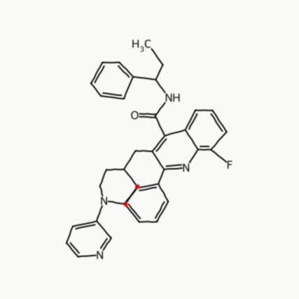 CCC(NC(=O)c1c(CC2CCN(c3cccnc3)CC2)c(-c2ccccc2)nc2c(F)cccc12)c1ccccc1